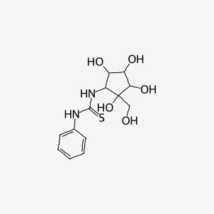 OCC1(O)C(O)C(O)C(O)C1NC(=S)Nc1ccccc1